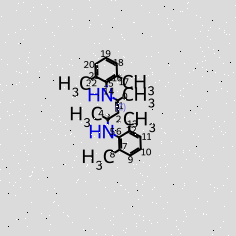 C/C(=C/C(C)Nc1c(C)cccc1C)Nc1c(C)cccc1C